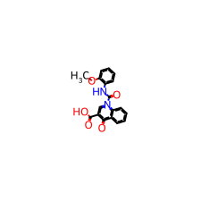 COc1ccccc1NC(=O)n1cc(C(=O)O)c(=O)c2ccccc21